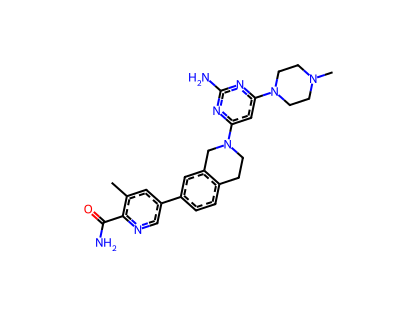 Cc1cc(-c2ccc3c(c2)CN(c2cc(N4CCN(C)CC4)nc(N)n2)CC3)cnc1C(N)=O